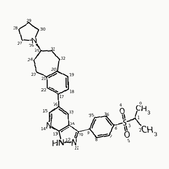 CC(C)S(=O)(=O)c1ccc(-c2n[nH]c3ncc(-c4ccc5c(c4)CC[C@@H](N4CCCC4)CC5)cc23)cc1